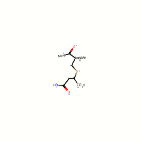 CNC(=O)[C@H](CSC(CC(N)=O)C(=O)O)NC